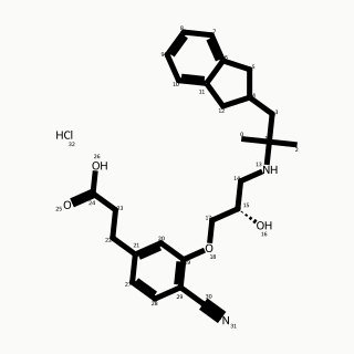 CC(C)(CC1Cc2ccccc2C1)NC[C@H](O)COc1cc(CCC(=O)O)ccc1C#N.Cl